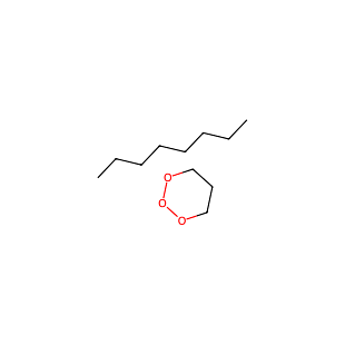 C1COOOC1.CCCCCCCC